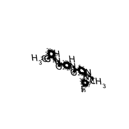 CCc1nc2ccc(C(=O)Nc3ccc(C(=O)NCc4ccccc4OC)cc3)cc2n1-c1ccc(F)cc1